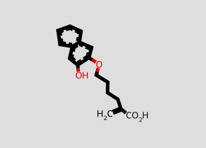 C=C(CCCCOc1cc2ccccc2cc1O)C(=O)O